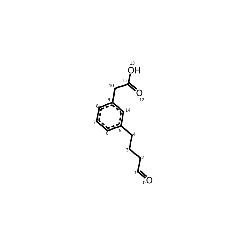 O=CCCCc1cccc(CC(=O)O)c1